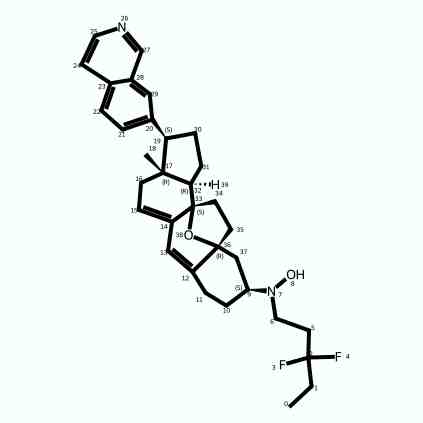 CCC(F)(F)CCN(O)[C@H]1CCC2=CC3=CC[C@]4(C)[C@@H](c5ccc6ccncc6c5)CC[C@H]4[C@@]34CC[C@]2(C1)O4